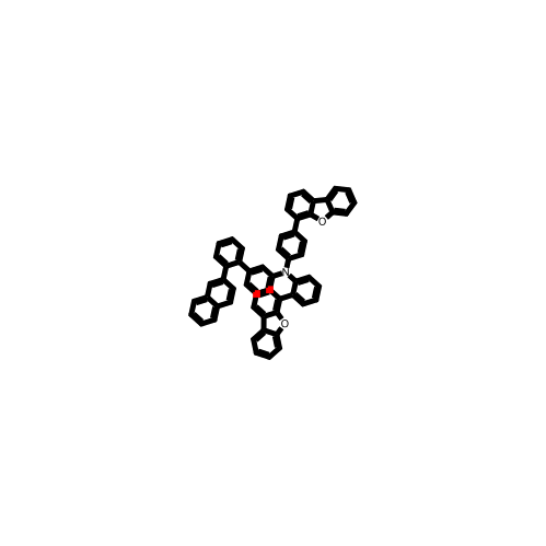 c1cc(-c2ccccc2-c2ccc3ccccc3c2)cc(N(c2ccc(-c3cccc4c3oc3ccccc34)cc2)c2ccccc2-c2cccc3c2oc2ccccc23)c1